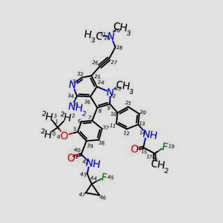 [2H]C([2H])([2H])Oc1cc(-c2c(-c3ccc(NC(=O)C(=C)F)cc3)n(C)c3c(C#CCN(C)C)cnc(N)c23)ccc1C(=O)NCC1(F)CC1